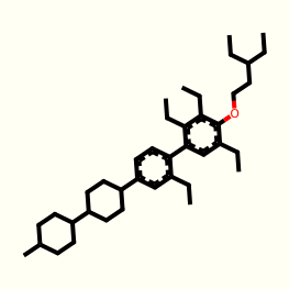 CCc1cc(C2CCC(C3CCC(C)CC3)CC2)ccc1-c1cc(CC)c(OCCC(CC)CC)c(CC)c1CC